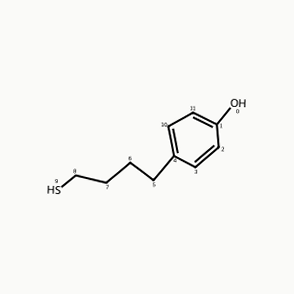 Oc1ccc(CCCCS)cc1